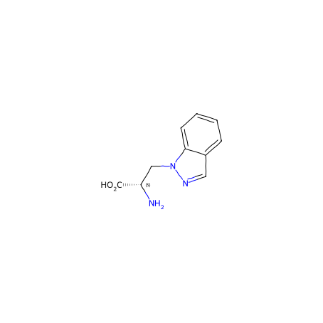 N[C@@H](Cn1ncc2ccccc21)C(=O)O